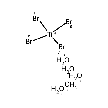 O.O.O.O.O.[Br][Ti]([Br])([Br])[Br]